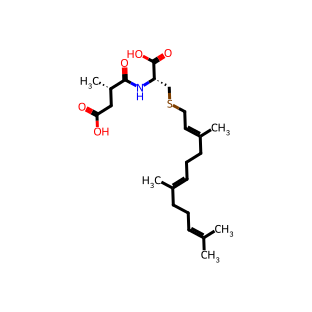 CC(C)=CCCC(C)=CCCC(C)=CCSC[C@H](NC(=O)[C@@H](C)CC(=O)O)C(=O)O